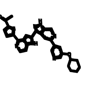 CC(=O)c1ccc(-c2nccc3[nH]c(-c4n[nH]c5cnc(-c6cncc(OC7CCCCC7)c6)cc45)cc23)s1